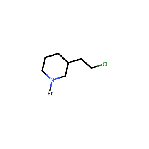 CCN1CCCC(CCCl)C1